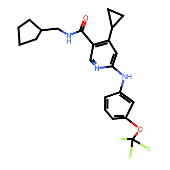 O=C(NCC1CCCC1)c1cnc(Nc2cccc(OC(F)(F)F)c2)cc1C1CC1